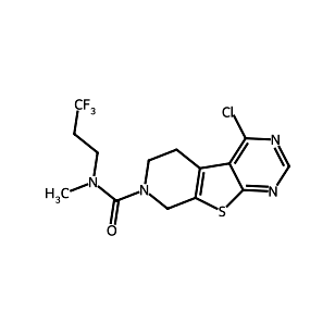 CN(CCC(F)(F)F)C(=O)N1CCc2c(sc3ncnc(Cl)c23)C1